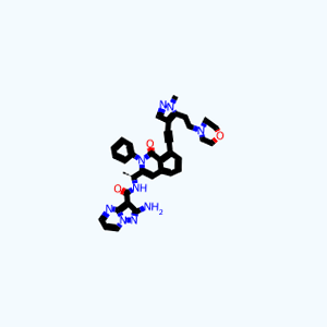 C[C@@H](NC(=O)c1c(N)nn2cccnc12)c1cc2cccc(C#Cc3cnn(C)c3CCN3CCOCC3)c2c(=O)n1-c1ccccc1